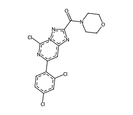 O=C(c1nc2cc(-c3ccc(Cl)cc3Cl)nc(Cl)n2n1)N1CCOCC1